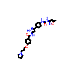 Cc1cc(NC(=O)Nc2ccc(-c3cc(NC(=O)c4ccc(OCCCN5CCCC5)cc4)[nH]n3)cc2)no1